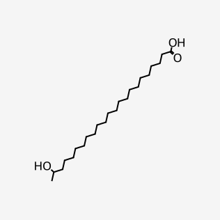 CC(O)CCCCCCCCCCCCCCCCCCCCC(=O)O